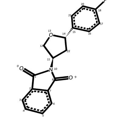 O=C1c2ccccc2C(=O)N1[C@H]1CO[C@H](c2ccc(F)cc2)C1